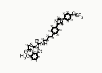 CCc1cccc(C)c1N1C(=O)CSC1=NC(=O)NCCCCc1ccc(-c2ncn(-c3ccc(OC(F)(F)F)cc3)n2)cc1